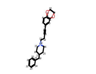 C(#Cc1ccc2c(c1)OCCO2)CCN1CCC(Cc2ccccc2)CC1